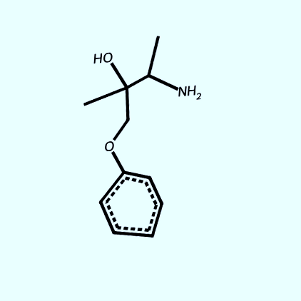 CC(N)C(C)(O)COc1ccccc1